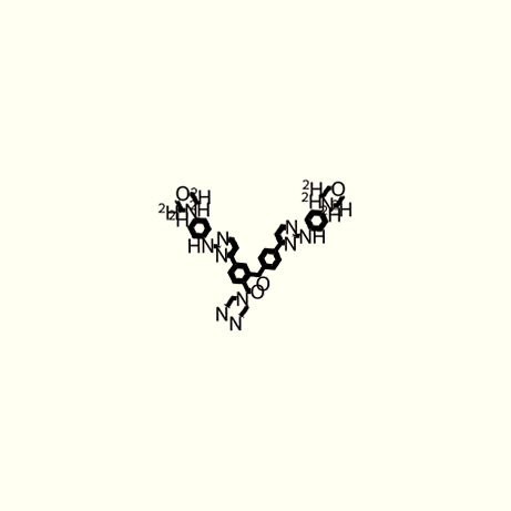 [2H]C1([2H])COCC([2H])([2H])N1c1ccc(Nc2nccc(-c3ccc(C(=O)c4cc(-c5ccnc(Nc6ccc(N7C([2H])([2H])COCC7([2H])[2H])cc6)n5)ccc4C(=O)N(CC#N)CC#N)cc3)n2)cc1